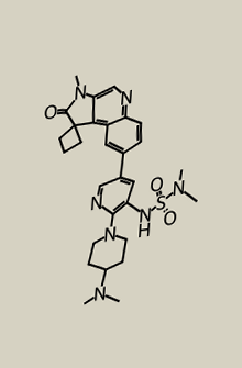 CN1C(=O)C2(CCC2)c2c1cnc1ccc(-c3cnc(N4CCC(N(C)C)CC4)c(NS(=O)(=O)N(C)C)c3)cc21